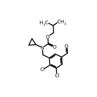 CC(C)COC(=O)N(Cc1cc(C=O)cc(Cl)c1Cl)C1CC1